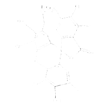 O=C(O)c1cc2c(c(Cl)c1Cl)C(=O)OC21c2cc(Cl)c(O)c(Cl)c2Oc2c1cc(Cl)c(O)c2Cl